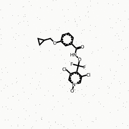 O=C(NOC(F)(F)c1c(Cl)c[n+]([O-])cc1Cl)c1cccc(OCC2CC2)c1